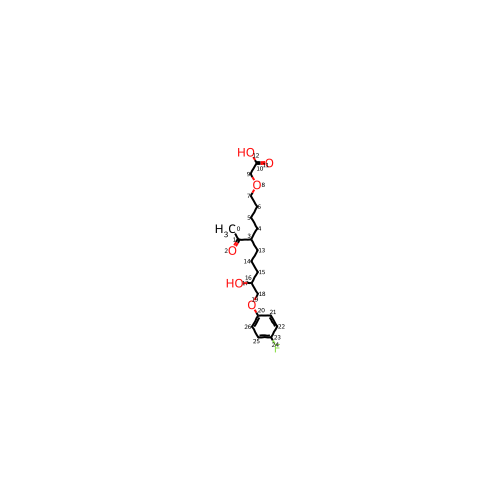 CC(=O)C(CCCCOCC(=O)O)CCCC(O)COc1ccc(F)cc1